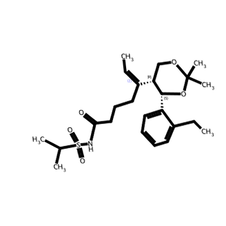 C/C=C(/CCCC(=O)NS(=O)(=O)C(C)C)[C@@H]1COC(C)(C)O[C@@H]1c1ccccc1CC